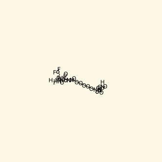 N=C(NC(=O)c1ccc(N2CCN(C(=O)CCOCCOCCOCCOCCOCCNc3cccc4c3C(=O)N(C3CCC(=O)NC3=O)C4=O)CC2)cc1NC1CCOCC1)c1cc(Cc2cc(F)cc(F)c2)ccc1N